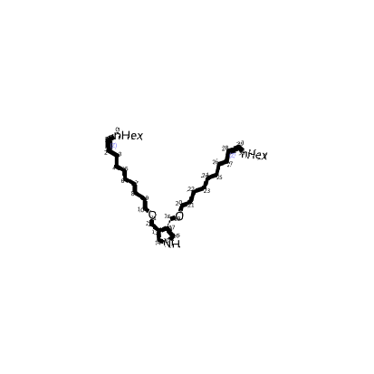 CCCCCC/C=C\CCCCCCCCOCC1CNC[C@H]1COCCCCCCCC/C=C\CCCCCC